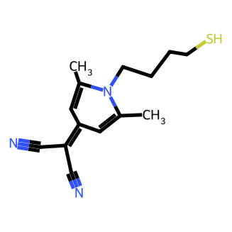 CC1=CC(=C(C#N)C#N)C=C(C)N1CCCCS